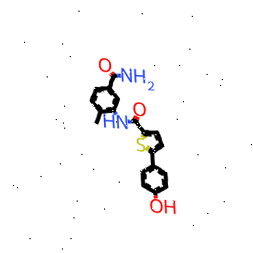 Cc1ccc(C(N)=O)cc1NC(=O)c1ccc(-c2ccc(O)cc2)s1